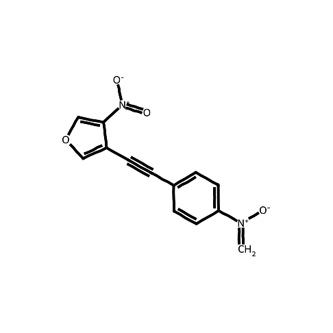 C=[N+]([O-])c1ccc(C#Cc2cocc2[N+](=O)[O-])cc1